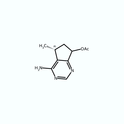 CC(=O)OC1C[C@@H](C)c2c(N)ncnc21